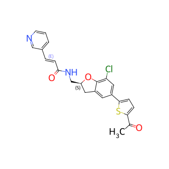 CC(=O)c1ccc(-c2cc(Cl)c3c(c2)C[C@@H](CNC(=O)/C=C/c2cccnc2)O3)s1